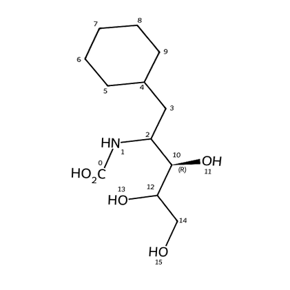 O=C(O)NC(CC1CCCCC1)[C@@H](O)C(O)CO